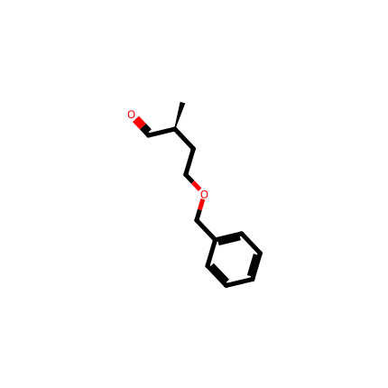 C[C@H](C=O)CCOCc1ccccc1